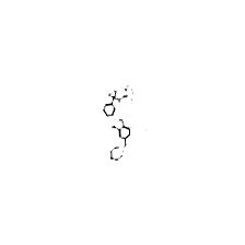 Cn1cnnc1[C@H](F)C1(c2cccc(N3Cc4c(cc(CN5CCC(F)CC5)cc4C(F)(F)F)C3=O)c2)COC1